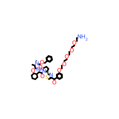 CC(C(=O)NC(C(=O)N1CCC[C@H]1c1nc(C(=O)c2cccc(OCCOCCOCCOCCOCCN)c2)cs1)C1CCCCC1)N(C)C(=O)OCc1ccccc1